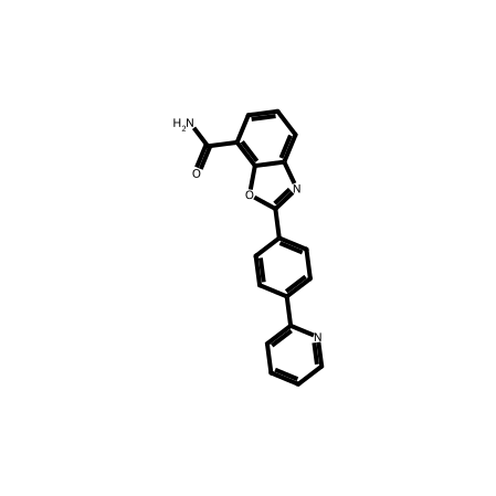 NC(=O)c1cccc2nc(-c3ccc(-c4ccccn4)cc3)oc12